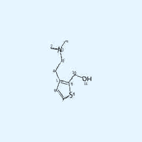 CN(C)CCc1ccsc1CO